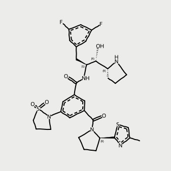 Cc1csc([C@H]2CCCN2C(=O)c2cc(C(=O)N[C@@H](Cc3cc(F)cc(F)c3)[C@H](O)[C@H]3CCCN3)cc(N3CCCS3(=O)=O)c2)n1